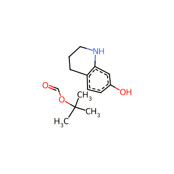 CC(C)(C)OC=O.Oc1ccc2c(c1)NCCC2